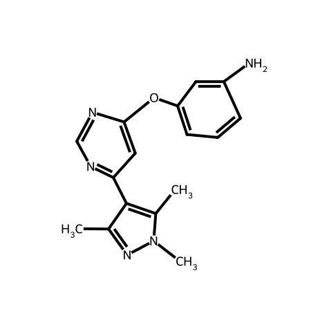 Cc1nn(C)c(C)c1-c1cc(Oc2cccc(N)c2)ncn1